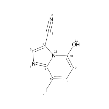 N#Cc1cnc2c(I)ccc(O)n12